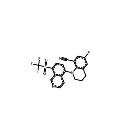 N#Cc1cc(F)cc2c1N(c1ccc(S(=O)(=O)C(F)(F)F)c3cnccc13)CCC2